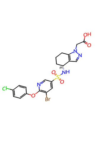 O=C(O)Cn1ncc2c1CCC[C@H]2NS(=O)(=O)c1cnc(Oc2ccc(Cl)cc2)c(Br)c1